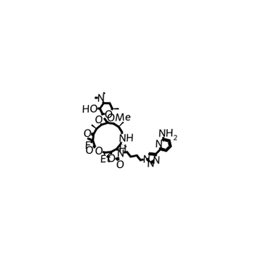 CC[C@H]1OC(=O)C(C)(F)C(=O)[C@@H](C)[C@@H](O[C@@H]2O[C@H](C)CC(N(C)C)C2O)[C@](C)(OC)C[C@@H](C)CN[C@H](C)[C@H]2N(CCCCn3cc(-c4cccc(N)n4)nn3)C(=O)O[C@]12C